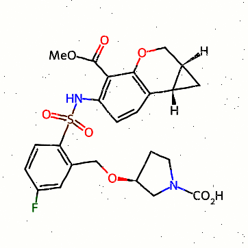 COC(=O)c1c(NS(=O)(=O)c2ccc(F)cc2CO[C@H]2CCN(C(=O)O)C2)ccc2c1OC[C@@H]1C[C@H]21